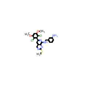 COc1cc(OC)c(Cl)c(-c2cc3cnc(SC)nc3c(NCc3cccc(N)c3)n2)c1Cl